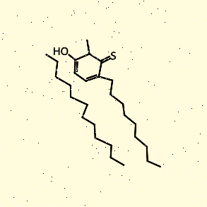 CCCCCCCCCC1=CC=C(O)C(C)C1=S.CCCCCCCCCCCC